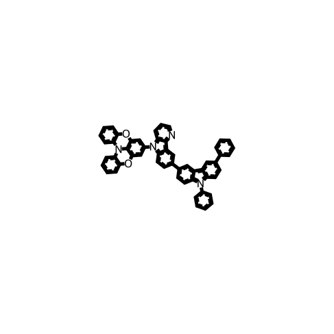 c1ccc(-c2ccc3c(c2)c2cc(-c4ccc5c(c4)c4ncccc4n5-c4cc5c6c(c4)Oc4ccccc4N6c4ccccc4O5)ccc2n3-c2ccccc2)cc1